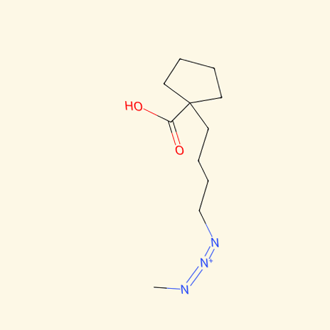 CN=[N+]=NCCCCC1(C(=O)O)CCCC1